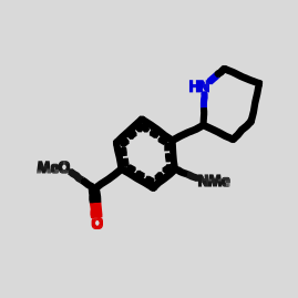 CNc1cc(C(=O)OC)ccc1C1CCCCN1